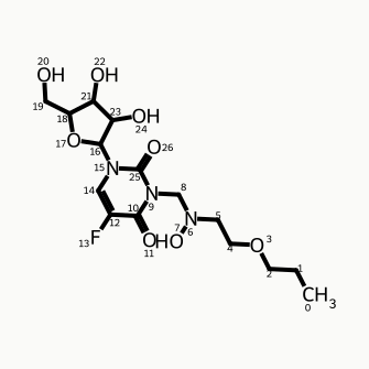 CCCOCCN(O)Cn1c(=O)c(F)cn(C2OC(CO)C(O)C2O)c1=O